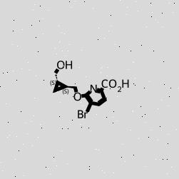 O=C(O)c1ccc(Br)c(OC[C@H]2C[C@@H]2CO)n1